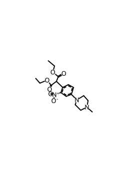 CCOC(=O)C(C(=O)OCC)c1ccc(N2CCN(C)CC2)cc1[N+](=O)[O-]